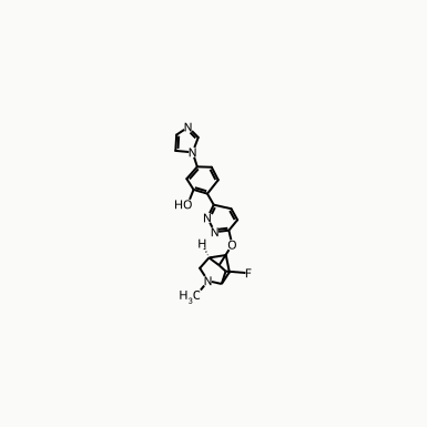 CN1C[C@H]2CCC1C(F)C2Oc1ccc(-c2ccc(-n3ccnc3)cc2O)nn1